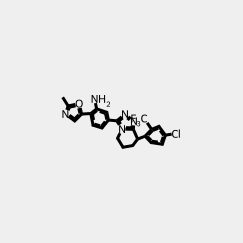 Cc1ncc(-c2ccc(-c3nnc4n3CCCC4c3ccc(Cl)cc3C(F)(F)F)cc2N)o1